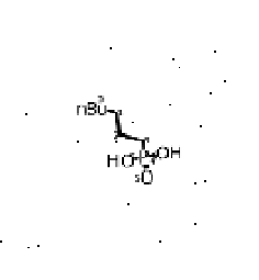 [CH2]CCCCCCP(=O)(O)O